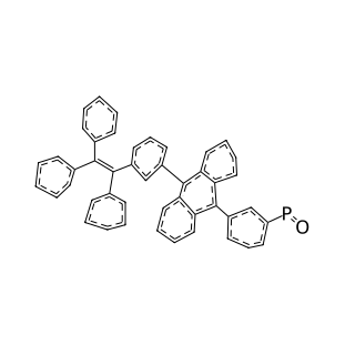 O=Pc1cccc(-c2c3ccccc3c(-c3cccc(C(=C(c4ccccc4)c4ccccc4)c4ccccc4)c3)c3ccccc23)c1